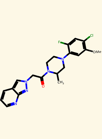 COc1cc(N2CCN(C(=O)Cn3cc4cccnc4n3)C(C)C2)c(F)cc1Cl